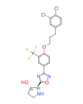 O[C@H]1CCN[C@@H]1c1nc(-c2ccc(OCCCc3ccc(Cl)c(Cl)c3)c(C(F)(F)F)c2)no1